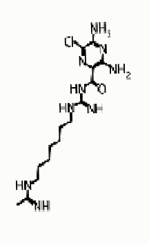 CC(=N)NCCCCCCCNC(=N)NC(=O)c1nc(Cl)c(N)nc1N